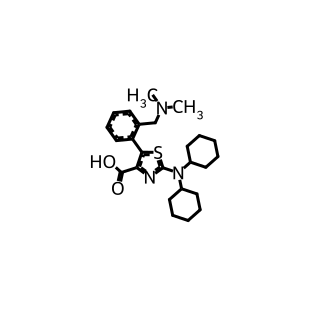 CN(C)Cc1ccccc1-c1sc(N(C2CCCCC2)C2CCCCC2)nc1C(=O)O